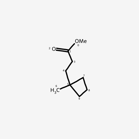 COC(=O)CCC1(C)CCC1